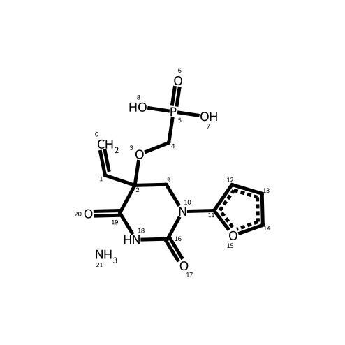 C=CC1(OCP(=O)(O)O)CN(c2ccco2)C(=O)NC1=O.N